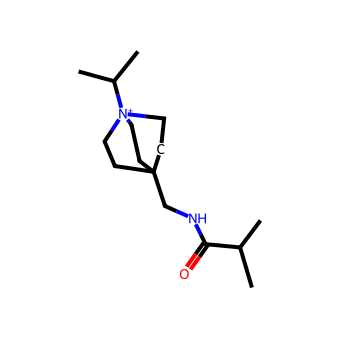 CC(C)C(=O)NCC12CC[N+](C(C)C)(CC1)CC2